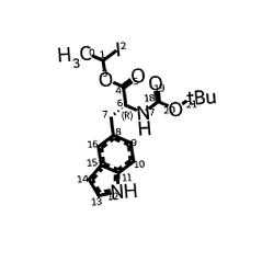 CC(I)OC(=O)[C@@H](Cc1ccc2[nH]ccc2c1)NC(=O)OC(C)(C)C